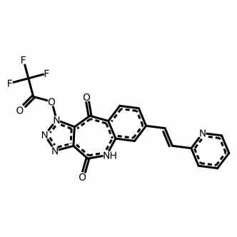 O=C(On1nnc2c(=O)[nH]c3cc(C=Cc4ccccn4)ccc3c(=O)c21)C(F)(F)F